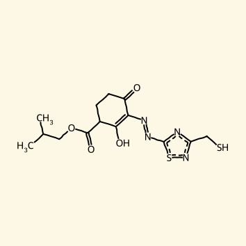 CC(C)COC(=O)C1CCC(=O)C(N=Nc2nc(CS)ns2)=C1O